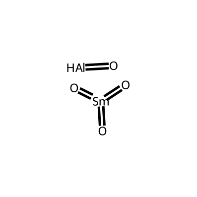 [O]=[AlH].[O]=[Sm](=[O])=[O]